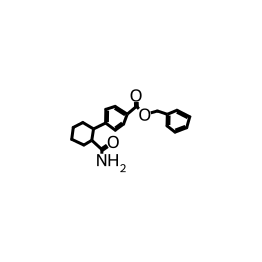 NC(=O)C1CCCCC1c1ccc(C(=O)OCc2ccccc2)cc1